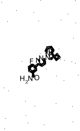 NC(=O)c1ccc(F)c(-c2ccc(NCC3(c4ccccn4)CCC3)nn2)c1